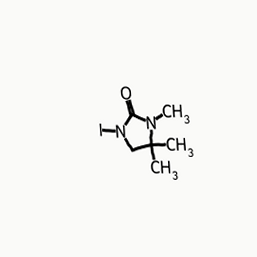 CN1C(=O)N(I)CC1(C)C